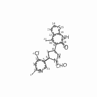 Cc1cc(Cl)c(C2CC(c3c(C)c4ccsc4[nH]c3=O)=NN2C=O)cn1